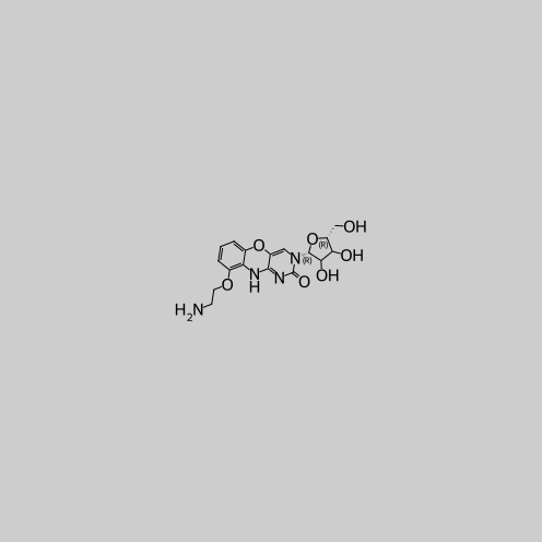 NCCOc1cccc2c1Nc1nc(=O)n([C@@H]3O[C@H](CO)C(O)C3O)cc1O2